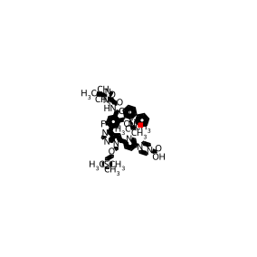 C[C@@H](NC(=O)c1nc(C(C)(C)C)no1)c1cc(F)c(-c2ncnc3c2cc(-c2ccc(N4CCN(C(=O)O)CC4)cn2)n3COCC[Si](C)(C)C)cc1CO[Si](c1ccccc1)(c1ccccc1)C(C)(C)C